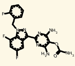 NC(=O)Oc1c(N)nc(-c2nn(Cc3ccccc3F)c3c(F)cc(F)cc23)nc1N